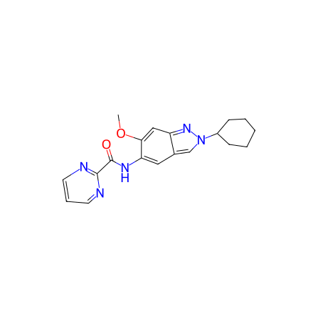 COc1cc2nn(C3CCCCC3)cc2cc1NC(=O)c1ncccn1